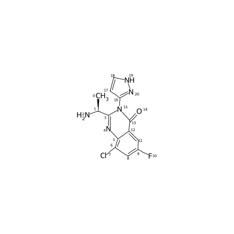 C[C@H](N)c1nc2c(Cl)cc(F)cc2c(=O)n1-c1cc[nH]n1